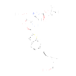 COC(=O)[C@@H](NC(=O)c1cc2ccc(C#CC3C[C@H]3CO)cc2s1)C(C)(C)NC(=O)OC(C)(C)C